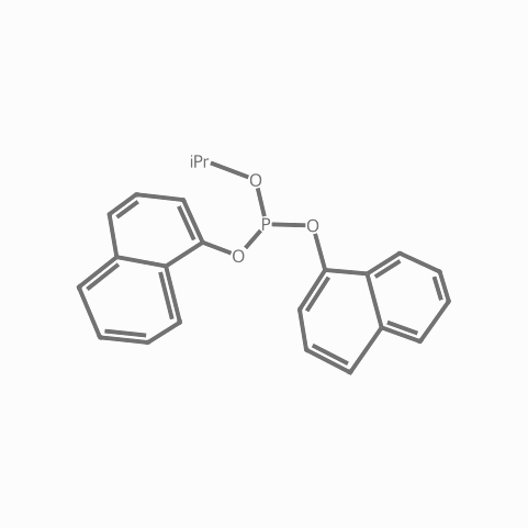 CC(C)OP(Oc1cccc2ccccc12)Oc1cccc2ccccc12